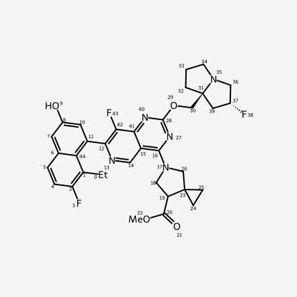 CCc1c(F)ccc2cc(O)cc(-c3ncc4c(N5CC(C(=O)OC)C6(CC6)C5)nc(OC[C@@]56CCCN5C[C@H](F)C6)nc4c3F)c12